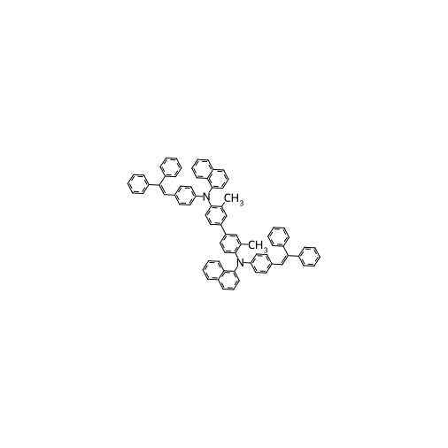 Cc1cc(-c2ccc(N(c3ccc(C=C(c4ccccc4)c4ccccc4)cc3)c3cccc4ccccc34)c(C)c2)ccc1N(c1ccc(C=C(c2ccccc2)c2ccccc2)cc1)c1cccc2ccccc12